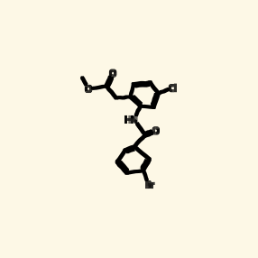 COC(=O)Cc1ccc(Cl)cc1NC(=O)c1cccc(Br)c1